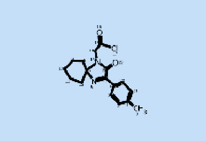 Cc1ccc(C2=NC3(CCCCC3)N(CC(=O)Cl)C2=O)cc1